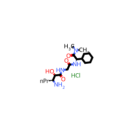 CCC[C@H](N)C(O)C(=O)NCC(=O)N[C@H](C(=O)N(C)C)C1CCCCC1.Cl